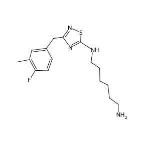 Cc1cc(Cc2nsc(NCCCCCCN)n2)ccc1F